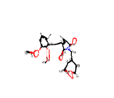 COc1cccc(C2=CC(=O)N(CC3CCOCC3)C2=O)c1OC